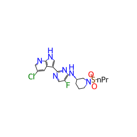 CCCS(=O)(=O)N1CCC[C@@H](Nc2nc(-c3c[nH]c4ncc(Cl)cc34)ncc2F)C1